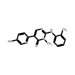 Cc1ccccc1Nc1ncc(-c2ccc(O)cn2)c(=O)n1C